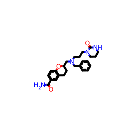 NC(=O)c1ccc2c(c1)CCC(CN(CCCN1CCCNC1=O)Cc1ccccc1)O2